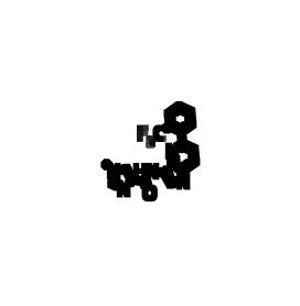 CN1C=NC(C(=O)Nc2cnc3ccc(-c4ccccc4C(F)(F)F)nn23)C1